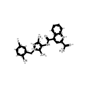 Cc1c(NC(=O)c2cc(C(N)=O)nc3ccccc23)c(C(F)(F)F)nn1Cc1cc(F)ccc1C#N